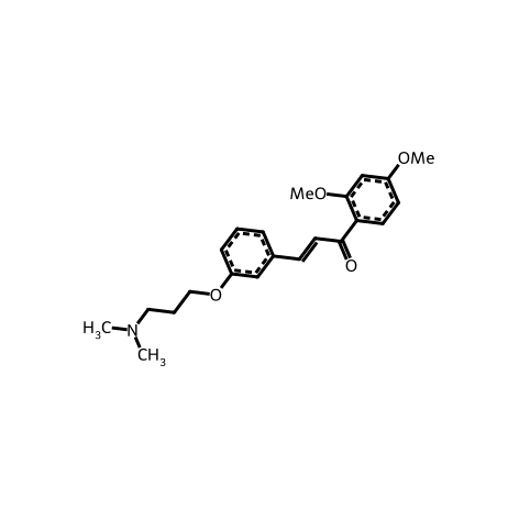 COc1ccc(C(=O)C=Cc2cccc(OCCCN(C)C)c2)c(OC)c1